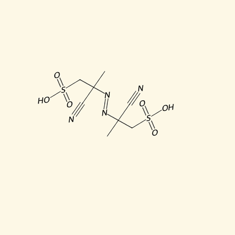 CC(C#N)(CS(=O)(=O)O)N=NC(C)(C#N)CS(=O)(=O)O